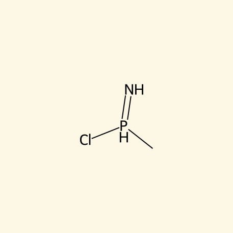 C[PH](=N)Cl